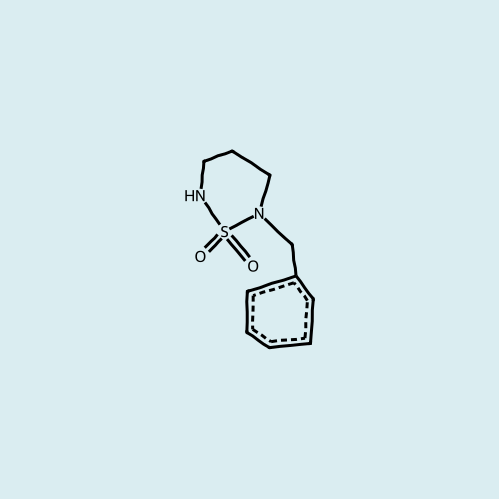 O=S1(=O)NCCCN1Cc1ccccc1